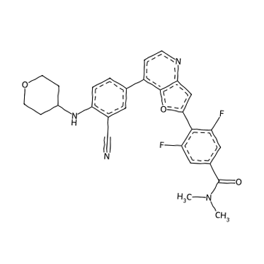 CN(C)C(=O)c1cc(F)c(-c2cc3nccc(-c4ccc(NC5CCOCC5)c(C#N)c4)c3o2)c(F)c1